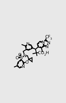 Cc1cnc2c(c1)S(=O)(=O)N(Cc1cc(C(c3ccn4c(C(F)(F)F)nnc4c3C)C(C)(C)C(=O)O)cnc1C)CC1(CC1)O2